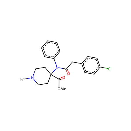 COC(=O)C1(N(C(=O)Cc2ccc(Cl)cc2)c2ccccc2)CCN(C(C)C)CC1